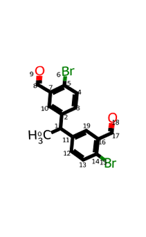 CC(c1ccc(Br)c(C=O)c1)c1ccc(Br)c(C=O)c1